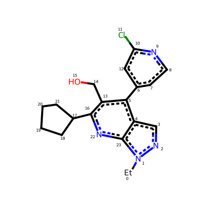 CCn1ncc2c(-c3ccnc(Cl)c3)c(CO)c(C3CCCC3)nc21